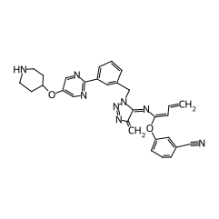 C=C/C=C(\N=C1/C(=C)N=NN1Cc1cccc(-c2ncc(OC3CCNCC3)cn2)c1)Oc1cccc(C#N)c1